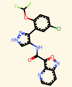 O=C(Nc1c[nH]nc1-c1cc(Cl)ccc1OC(F)F)c1onc2cccnc12